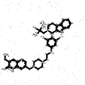 CCc1cc2ncc(CN3CCN(CCOc4cc(F)c([C@@H]5c6[nH]c7ccccc7c6C[C@@H](C)N5CC(C)(C)F)c(F)c4)CC3)cc2[nH]c1=O